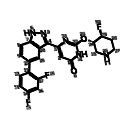 O=c1cc(-c2n[nH]c3ccc(-c4ccc(F)cc4F)cc23)nc(O[C@H]2CNCC[C@@H]2F)[nH]1